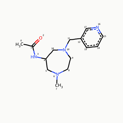 CC(=O)NC1CN(C)CCN(Cc2cccnc2)C1